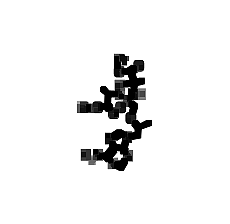 CC(C)COC(=O)[C@@H](C)NP(=O)(CO[C@@H](C)Cn1cnc2c(N)ncnc21)NC(C)(C)C(=O)OC(C)C